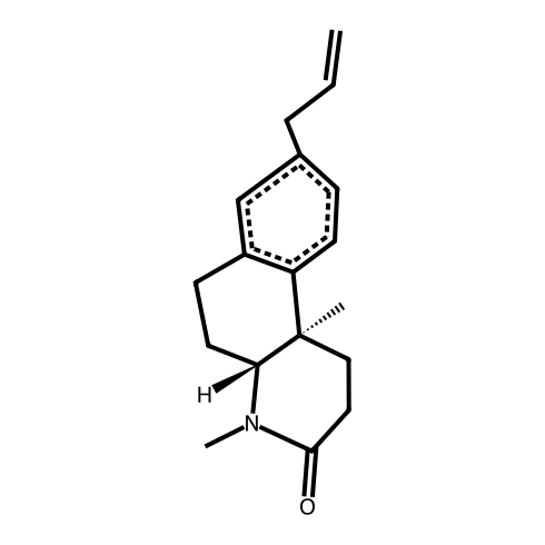 C=CCc1ccc2c(c1)CC[C@H]1N(C)C(=O)CC[C@]21C